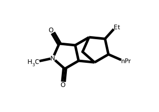 CCCC1C(CC)C2CC1C1C(=O)N(C)C(=O)C21